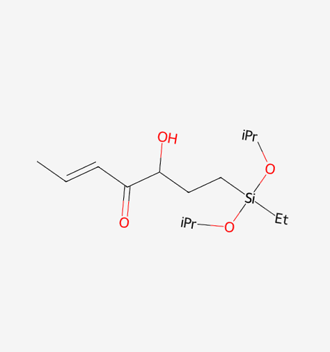 CC=CC(=O)C(O)CC[Si](CC)(OC(C)C)OC(C)C